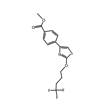 COC(=O)c1ccc(-c2csc(OCCCC(F)(F)F)n2)cc1